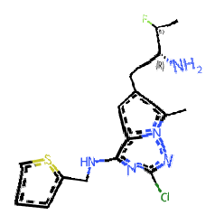 Cc1c(C[C@@H](N)[C@H](C)F)cc2c(NCc3cccs3)nc(Cl)nn12